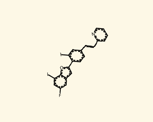 Fc1cc(I)c2oc(-c3ccc(/C=C/c4ccccn4)cc3I)cc2c1